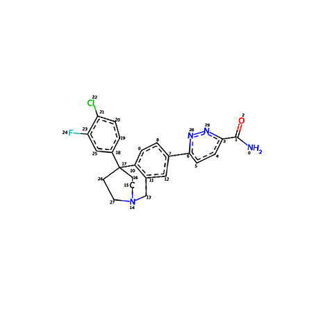 NC(=O)c1ccc(-c2ccc3c(c2)CN2CCC3(c3ccc(Cl)c(F)c3)CC2)nn1